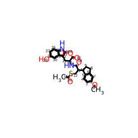 COc1ccc2c(c1)CCC2C(CSC(C)=O)C(=O)NC(Cc1c[nH]c2ccc(O)cc12)C(=O)O